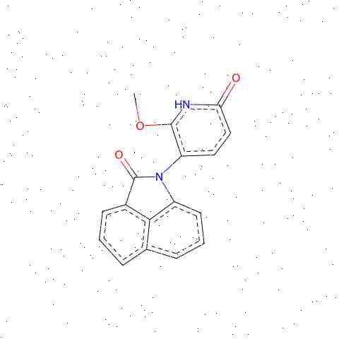 COc1[nH]c(=O)ccc1N1C(=O)c2cccc3cccc1c23